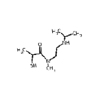 CC(C)NCCN(C)C(=O)C(C)S